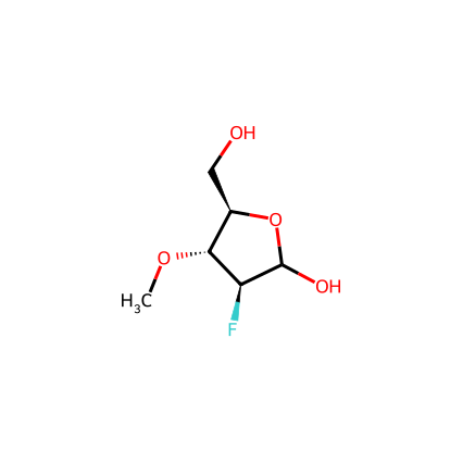 CO[C@H]1[C@H](F)C(O)O[C@@H]1CO